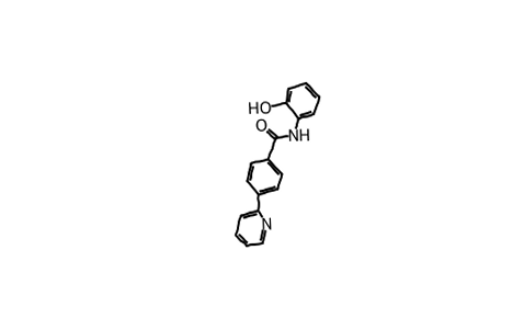 O=C(Nc1ccccc1O)c1ccc(-c2ccccn2)cc1